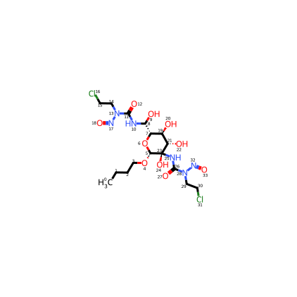 CCCCO[C@@H]1O[C@H](C(O)NC(=O)N(CCCl)N=O)[C@@H](O)[C@H](O)[C@]1(O)NC(=O)N(CCCl)N=O